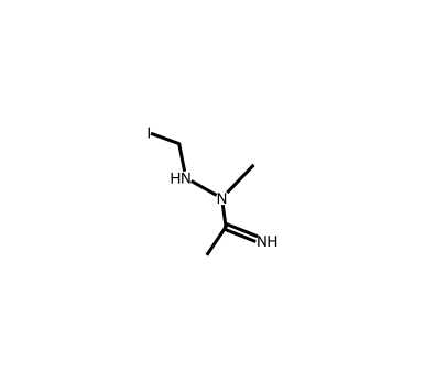 CC(=N)N(C)NCI